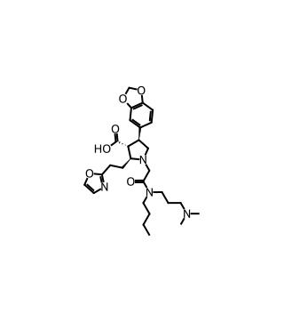 CCCCN(CCCN(C)C)C(=O)CN1C[C@H](c2ccc3c(c2)OCO3)[C@@H](C(=O)O)[C@@H]1CCc1ncco1